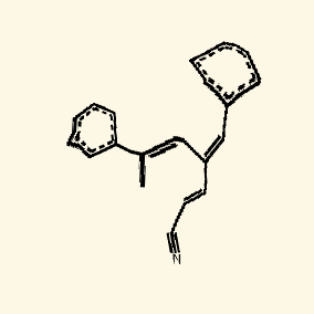 CC(=CC(C=CC#N)=Cc1ccccc1)c1ccccc1